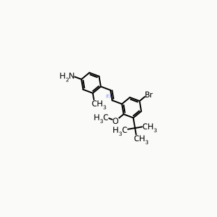 COc1c(/C=C/c2ccc(N)cc2C)cc(Br)cc1C(C)(C)C